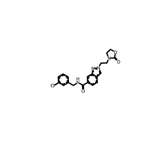 O=C(NCc1cccc(Cl)c1)c1ccc2cn(CCN3CCOC3=O)nc2c1